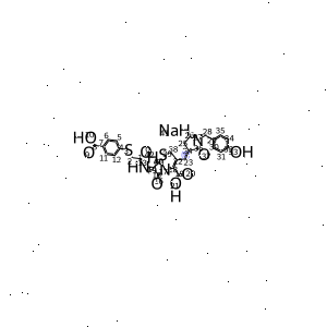 O=C(CSc1ccc(C(=O)O)cc1)N[C@@H]1C(=O)N2C(C(=O)O)=C(/C=C3\CCN(Cc4ccc(O)cc4)C3=O)CS[C@H]12.[NaH]